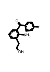 Nc1c(CCO)cccc1C(=O)c1ccc(F)cc1